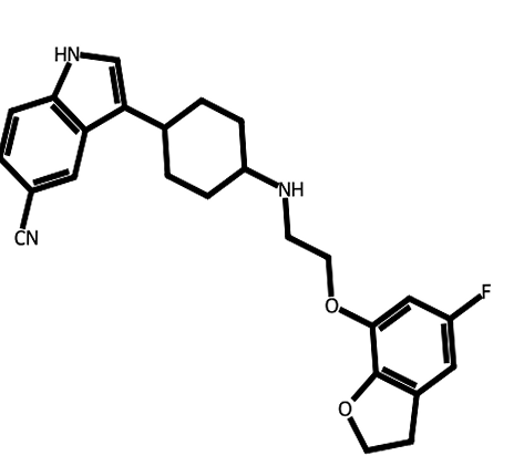 N#Cc1ccc2[nH]cc(C3CCC(NCCOc4cc(F)cc5c4OCC5)CC3)c2c1